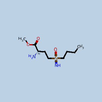 CCCCS(=N)(=O)CC[C@H](N)C(=O)OC